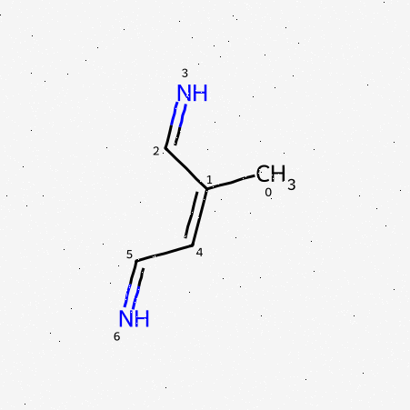 C/C(C=N)=C/C=N